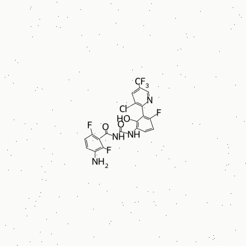 Nc1ccc(F)c(C(=O)NC(=O)Nc2ccc(F)c(-c3ncc(C(F)(F)F)cc3Cl)c2O)c1F